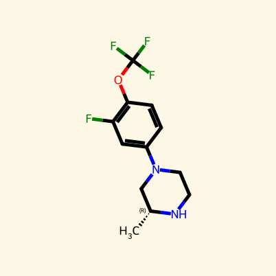 C[C@@H]1CN(c2ccc(OC(F)(F)F)c(F)c2)CCN1